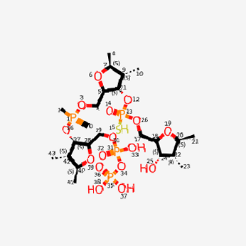 C=P(C)(OCC1O[C@@H](C)[C@H](C)[C@@H]1OP(=O)(S)OCC1O[C@@H](C)[C@H](C)[C@@H]1O)O[C@@H]1C(COP(=O)(O)OP(=O)(O)O)O[C@@H](C)[C@@H]1C